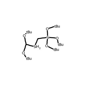 CC(C)(C)OC(OC(C)(C)C)[SiH2]C[Si](OC(C)(C)C)(OC(C)(C)C)OC(C)(C)C